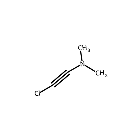 CN(C)C#CCl